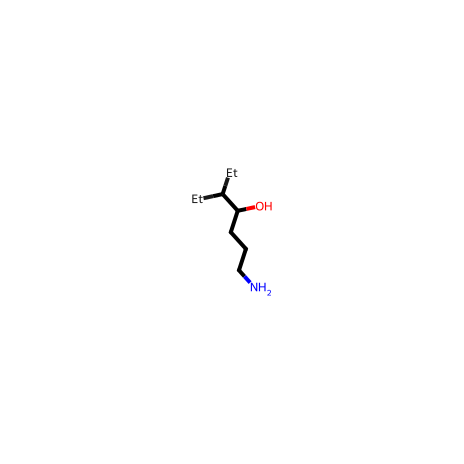 CCC(CC)C(O)CCCN